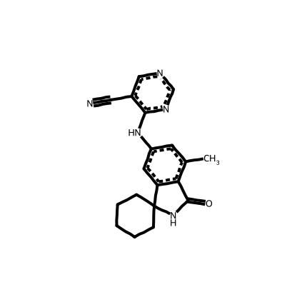 Cc1cc(Nc2ncncc2C#N)cc2c1C(=O)NC21CCCCC1